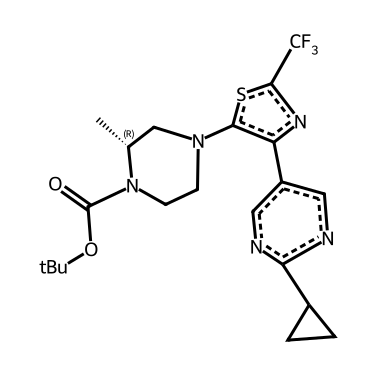 C[C@@H]1CN(c2sc(C(F)(F)F)nc2-c2cnc(C3CC3)nc2)CCN1C(=O)OC(C)(C)C